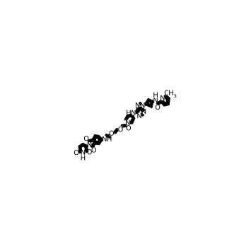 Cc1cccc(C(=O)NC2CC(n3cnc4c(NC5CCN(C(=O)COCCOCCNc6ccc7c(c6)C(=O)N([C@H]6CCC(=O)NC6=O)C7=O)CC5)ncnc43)C2)n1